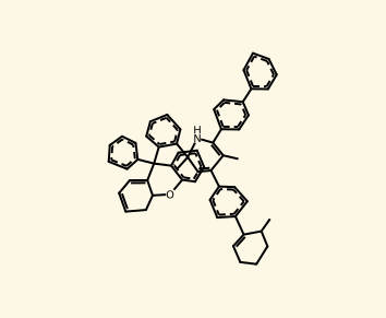 CC1=C(c2ccc(-c3ccccc3)cc2)NC(C)(c2ccccc2C2(c3ccccc3)C3=CC=CCC3Oc3ccccc32)C=C1c1ccc(C2=CCCCC2C)cc1